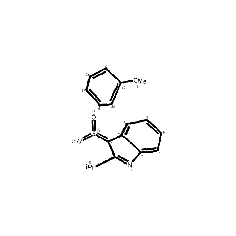 CC(C)C1=Nc2ccccc2C1=S(=O)=O.COc1ccccc1